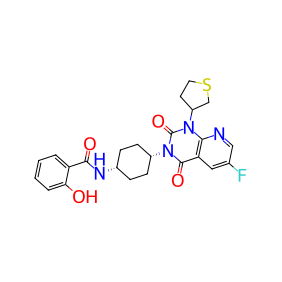 O=C(N[C@H]1CC[C@@H](n2c(=O)c3cc(F)cnc3n(C3CCSC3)c2=O)CC1)c1ccccc1O